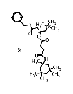 CC1(C)CC(C)(C)CC(C)(NC(=O)CCC(=O)O[C@@H](CC(=O)OCc2ccccc2)C[N+](C)(C)C)C1.[Br-]